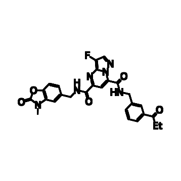 CCC(=O)c1cccc(CNC(=O)c2cc(C(=O)NCc3ccc4oc(=O)n(C)c4c3)nc3c(F)cnn23)c1